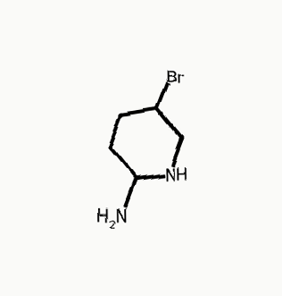 NC1CCC(Br)CN1